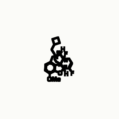 COc1ccc2c3c1O[C@H]1C(F)=CC[C@@]4(F)[C@@H](C2)N(CC2CCC2)CC[C@]314